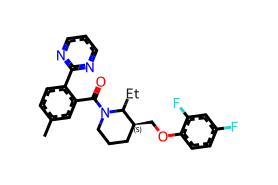 CCC1[C@@H](COc2ccc(F)cc2F)CCCN1C(=O)c1cc(C)ccc1-c1ncccn1